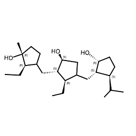 CC[C@@H]1C(C[C@@H]2[C@H](O)CC[C@H]2C(C)C)C[C@H](O)[C@H]1CC1CC[C@@](C)(O)[C@@H]1CC